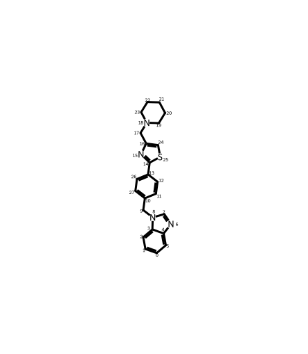 c1ccc2c(c1)ncn2Cc1ccc(-c2nc(CN3CCCCC3)cs2)cc1